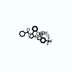 COc1cc(C(F)(F)F)ccc1CNC1CCN(C(=O)C2CCCCC2)C1c1ccccc1OC